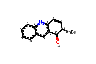 CCCCC1C=Cc2nc3ccccc3cc2C1=O